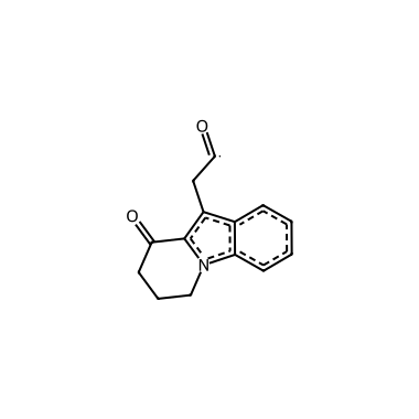 O=[C]Cc1c2n(c3ccccc13)CCCC2=O